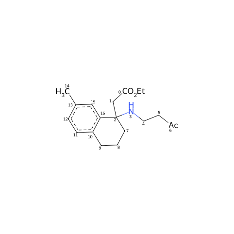 CCOC(=O)CC1(NCCC(C)=O)CCCc2ccc(C)cc21